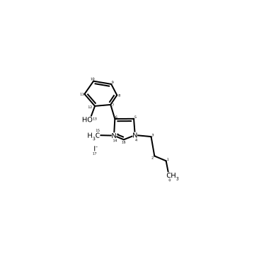 CCCCn1cc(-c2ccccc2O)[n+](C)c1.[I-]